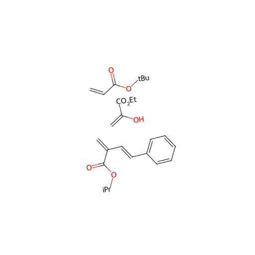 C=C(C=Cc1ccccc1)C(=O)OC(C)C.C=C(O)C(=O)OCC.C=CC(=O)OC(C)(C)C